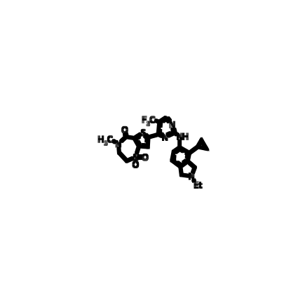 CCN1Cc2ccc(Nc3ncc(C(F)(F)F)c(-c4cc5c(s4)C(=O)N(C)CCS5(=O)=O)n3)c(C3CC3)c2C1